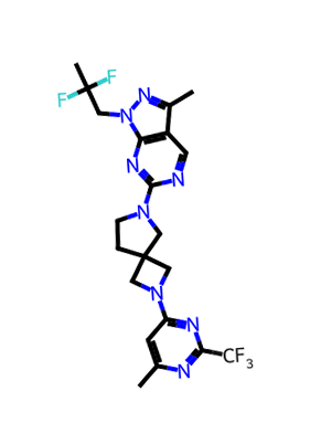 Cc1cc(N2CC3(CCN(c4ncc5c(C)nn(CC(C)(F)F)c5n4)C3)C2)nc(C(F)(F)F)n1